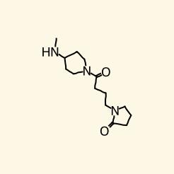 CNC1CCN(C(=O)CCCN2CCCC2=O)CC1